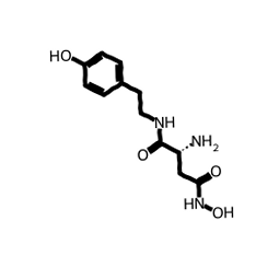 N[C@H](CC(=O)NO)C(=O)NCCc1ccc(O)cc1